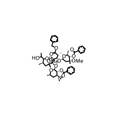 CO[C@](C)(C[C@@H](C)C(O)C(C)O)[C@H](O[C@@H]1O[C@H](C)C[C@H](N(C)C)[C@H]1OC(=O)c1ccccc1)[C@@H](C)[C@H](O[C@H]1C[C@@](C)(OC)[C@@H](OC(=O)c2ccccc2)[C@H](C)O1)[C@@H](C)C(=O)OCc1ccccc1